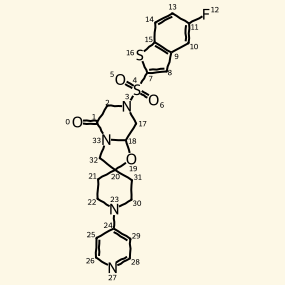 O=C1CN(S(=O)(=O)c2cc3cc(F)ccc3s2)CC2OC3(CCN(c4ccncc4)CC3)CN12